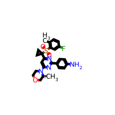 Cc1ccc(F)cc1S(=O)(=O)C1(c2cc(N3CCOC[C@@H]3C)nc(-c3ccc(N)cc3)n2)CC1